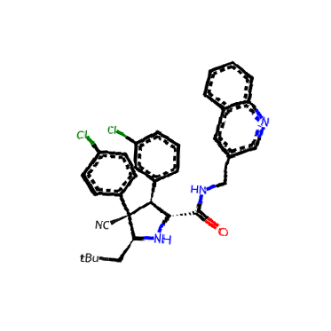 CC(C)(C)C[C@@H]1N[C@@H](C(=O)NCc2cnc3ccccc3c2)[C@H](c2cccc(Cl)c2)[C@@]1(C#N)c1ccc(Cl)cc1